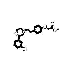 COC(=O)COc1ccc(CCN2CCOC(c3cccc(Cl)c3)C2)cc1